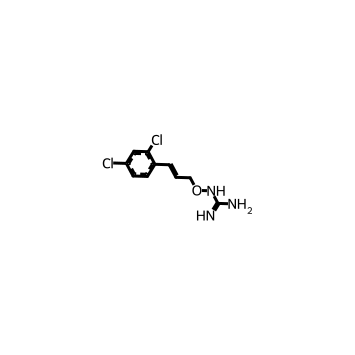 N=C(N)NOCC=Cc1ccc(Cl)cc1Cl